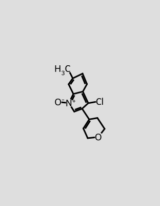 Cc1ccc2c(Cl)c(C3=CCOCC3)c[n+]([O-])c2c1